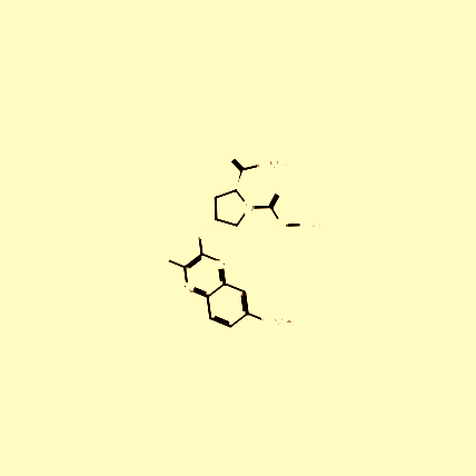 CCc1nc2ccc(OC)cc2nc1O[C@@H]1C[C@@H](C(=O)OC)N(C(=O)OC(C)(C)C)C1